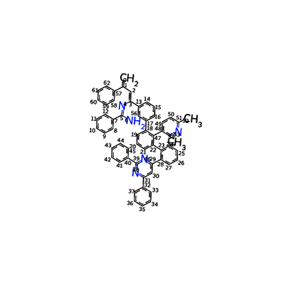 C=C(/C=C(\N=C(/N)c1ccccc1)c1cccc(-c2cccc(-c3ccccc3-c3cc(-c4ccccc4)nc(-c4ccccc4)n3)c2-c2ccc(C)nc2C)c1)c1ccccc1